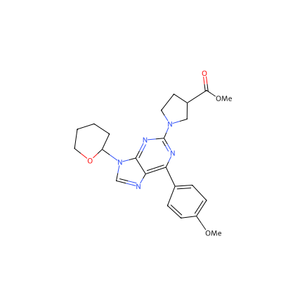 COC(=O)C1CCN(c2nc(-c3ccc(OC)cc3)c3ncn(C4CCCCO4)c3n2)C1